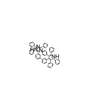 c1ccc(C2=NC(c3ccccc3-c3ccccc3)NC(c3cccc(-c4cccc(C5=C(c6ccccc6)C(c6ccccc6)NC(c6ccccc6)=C5c5ccccc5)c4)c3)=N2)cc1